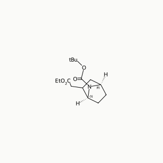 CCOC(=O)CC1C[C@H]2CC[C@@H]1N2C(=O)OC(C)(C)C